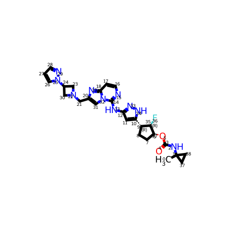 CC1(NC(=O)O[C@@H]2CC[C@H](c3cc(Nc4nccc5nc(CN6CC(n7cccn7)C6)cn45)n[nH]3)[C@H]2F)CC1